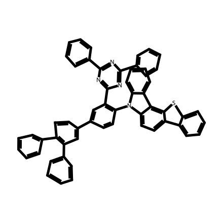 c1ccc(-c2nc(-c3ccccc3)nc(-c3cc(-c4ccc(-c5ccccc5)c(-c5ccccc5)c4)ccc3-n3c4ccccc4c4c5sc6ccccc6c5ccc43)n2)cc1